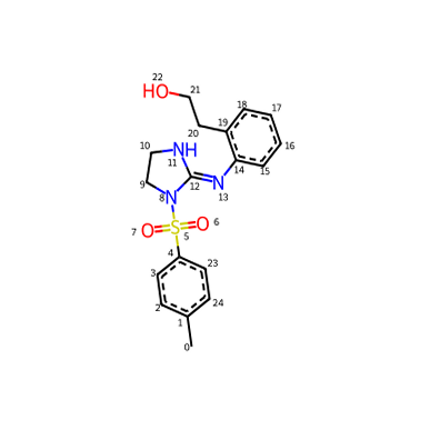 Cc1ccc(S(=O)(=O)N2CCNC2=Nc2ccccc2CCO)cc1